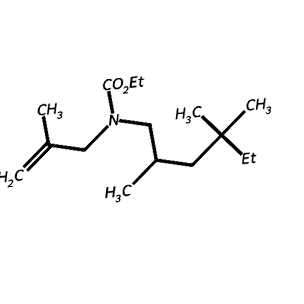 C=C(C)CN(CC(C)CC(C)(C)CC)C(=O)OCC